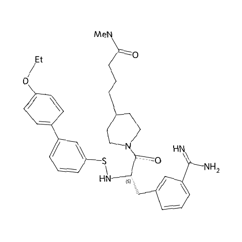 CCOc1ccc(-c2cccc(SN[C@@H](Cc3cccc(C(=N)N)c3)C(=O)N3CCC(CCCC(=O)NC)CC3)c2)cc1